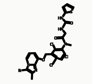 Cc1nc2c(OCc3c(Cl)ccc(N(C)C(=O)CNC(=O)Nc4cccs4)c3Cl)cccn2c1Br.Cl